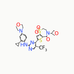 O=C1c2sc(-c3nc(Nc4ccc(N5CCOCC5)cc4C4CC4)ncc3C(F)(F)F)cc2S(=O)(=O)CCN1C1COC1